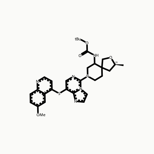 COc1ccc2nccc(Sc3cnc(N4CCC5(CO[C@@H](C)C5)C(NC(=O)OC(C)(C)C)C4)n4ccnc34)c2c1